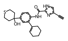 C#Cc1c[nH]c(C(=O)Nc2ccc(C3(O)CCSCC3)cc2C2=CCCCC2)n1